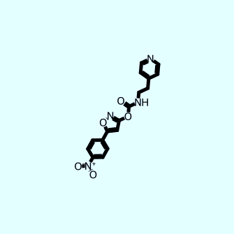 O=C(NCCc1ccncc1)Oc1cc(-c2ccc([N+](=O)[O-])cc2)on1